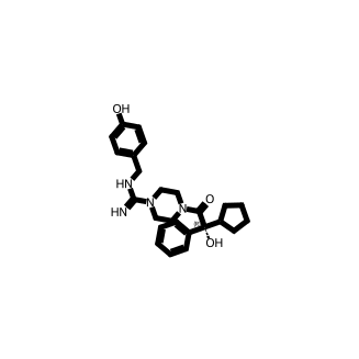 N=C(NCc1ccc(O)cc1)N1CCN(C(=O)[C@](O)(c2ccccc2)C2CCCC2)CC1